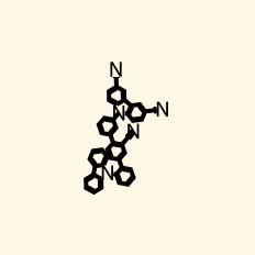 N#Cc1ccc2c(c1)c1cc(C#N)ccc1n2-c1cccc(-c2ccc(-c3ccccc3-n3c4ccccc4c4ccccc43)cc2C#N)c1